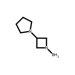 BN1CC(N2CCCC2)C1